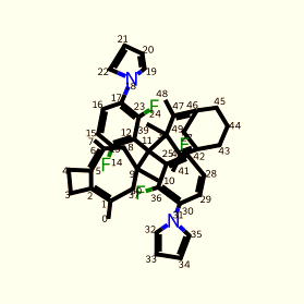 CC1=C2CCC2=C(C)CC(C)(C(c2c(F)ccc(-n3cccc3)c2F)(c2c(F)ccc(-n3cccc3)c2F)C2(C)C(C)=C3CCCC(=C2C)C3)C1